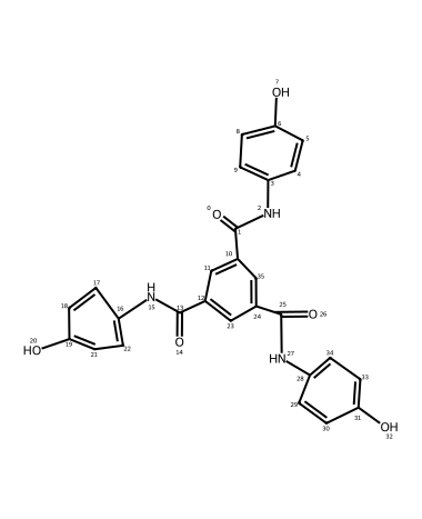 O=C(Nc1ccc(O)cc1)c1cc(C(=O)Nc2ccc(O)cc2)cc(C(=O)Nc2ccc(O)cc2)c1